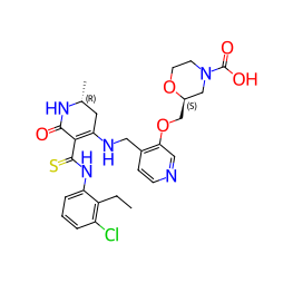 CCc1c(Cl)cccc1NC(=S)C1=C(NCc2ccncc2OC[C@@H]2CN(C(=O)O)CCO2)C[C@@H](C)NC1=O